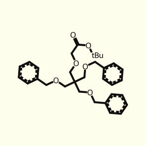 CC(C)(C)OC(=O)COCC(COCc1ccccc1)(COCc1ccccc1)COCc1ccccc1